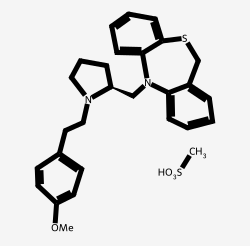 COc1ccc(CCN2CCC[C@H]2CN2c3ccccc3CSc3ccccc32)cc1.CS(=O)(=O)O